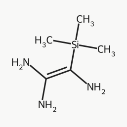 C[Si](C)(C)C(N)=C(N)N